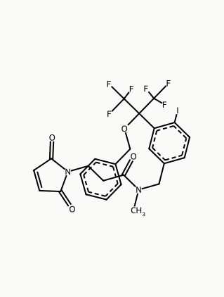 CN(Cc1ccc(I)c(C(OCc2ccccc2)(C(F)(F)F)C(F)(F)F)c1)C(=O)CCN1C(=O)C=CC1=O